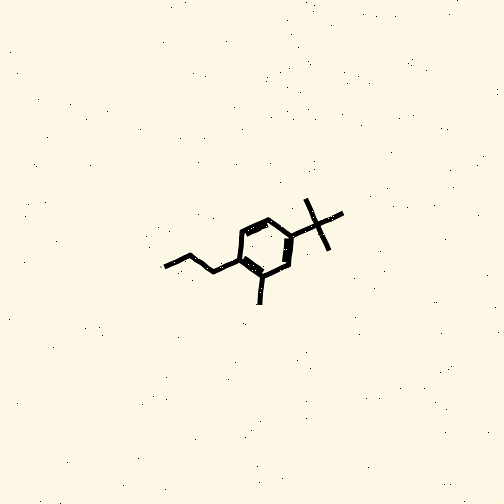 [CH2]CCc1ccc(C(C)(C)C)cc1C